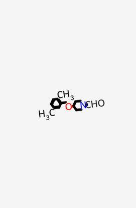 Cc1ccc(C)c(COC2CCN(C=O)CC2)c1